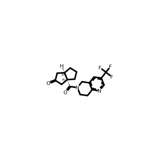 O=C1C[C@H]2CCC[C@@]2(C(=O)N2CCc3ncc(C(F)(F)F)cc3C2)C1